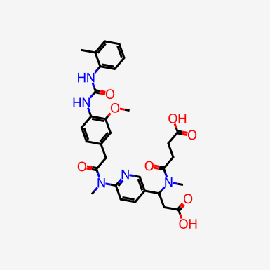 COc1cc(CC(=O)N(C)c2ccc(C(CC(=O)O)N(C)C(=O)CCC(=O)O)cn2)ccc1NC(=O)Nc1ccccc1C